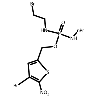 CCCNP(=O)(NCCBr)OCc1cc(Br)c([N+](=O)[O-])s1